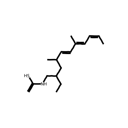 C=C(S)NCC(CC)CC(C)/C=C/C(C)=C/C=C\C